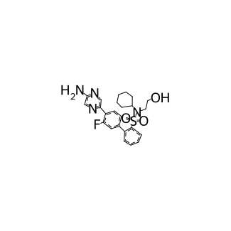 Nc1cnc(-c2ccc(-c3ccccc3S(=O)(=O)N(CCO)C3CCCCC3)cc2F)cn1